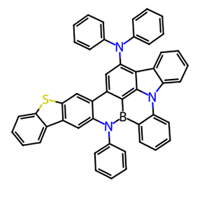 c1ccc(N2B3c4ccccc4-n4c5ccccc5c5c(N(c6ccccc6)c6ccccc6)cc(c3c54)-c3cc4sc5ccccc5c4cc32)cc1